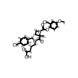 COc1ccc(OC(=O)N2CCC2(C)C(=O)N(CCCC(=O)O)Cc2ccc(Cl)cc2)c(Cl)c1